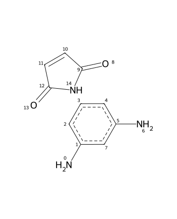 Nc1cccc(N)c1.O=C1C=CC(=O)N1